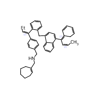 C/C=C\C(=C1\C=CC=CC1)c1ccc(Cc2ccccc2/C(=C\CC)c2ccc(CNCC3=CCCCCC3)cc2)c2ccccc12